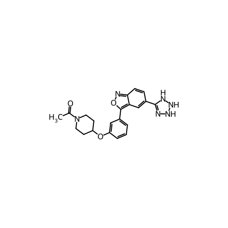 CC(=O)N1CCC(Oc2cccc(-c3onc4ccc(C5=NNNN5)cc34)c2)CC1